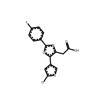 O=C(O)Cc1nc(-c2ccc(F)cc2)oc1-c1csc(Cl)c1